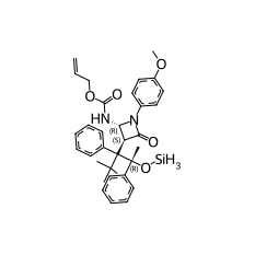 C=CCOC(=O)N[C@H]1[C@H](C(c2ccccc2)(C(C)(C)C)[C@](C)(O[SiH3])c2ccccc2)C(=O)N1c1ccc(OC)cc1